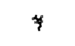 CCCc1nc(Cl)c(C(C)=O)[nH]1